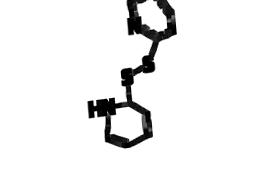 C1=CNC(SSc2ccccn2)C=C1